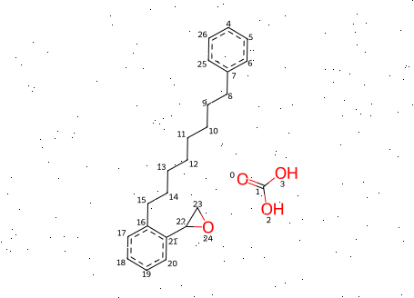 O=C(O)O.c1ccc(CCCCCCCCc2ccccc2C2CO2)cc1